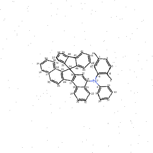 Cc1ccc(C)c(N(c2ccccc2)c2cc3c(c4ccccc24)-c2ccc4ccccc4c2C32c3ccccc3-c3ccccc32)c1